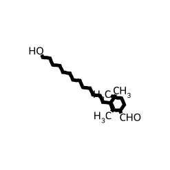 CC1=C(CCCCCCCCCCCCCO)C(C)(C)CCC1C=O